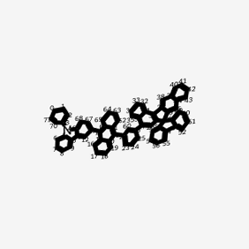 c1ccc(-n2c3ccccc3c3cc(-c4c5ccccc5c(-c5cccc(-c6cc7c(c8ccccc68)-c6cc8ccccc8cc6C76c7ccccc7-c7ccccc76)c5)c5ccccc45)ccc32)cc1